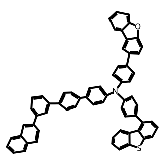 c1cc(-c2ccc(-c3ccc(N(c4ccc(-c5ccc6oc7ccccc7c6c5)cc4)c4ccc(-c5cccc6sc7ccccc7c56)cc4)cc3)cc2)cc(-c2ccc3ccccc3c2)c1